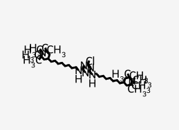 CN1C(C)(C)CC(CCCCCCCCNc2nc(Cl)nc(NCCCCCCCCC3CC(C)(C)N(C)C(C)(C)C3)n2)CC1(C)C